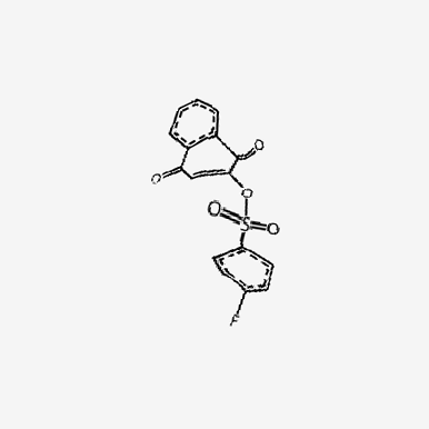 O=C1C=C(OS(=O)(=O)c2ccc(F)cc2)C(=O)c2ccccc21